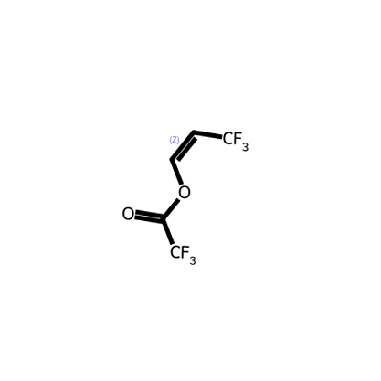 O=C(O/C=C\C(F)(F)F)C(F)(F)F